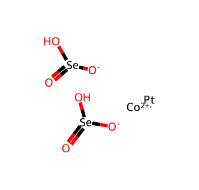 O=[Se]([O-])O.O=[Se]([O-])O.[Co+2].[Pt]